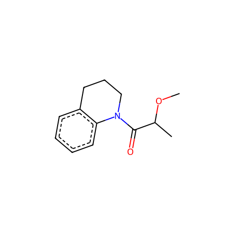 COC(C)C(=O)N1CCCc2ccccc21